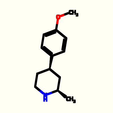 COc1ccc([C@@H]2CCN[C@H](C)C2)cc1